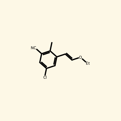 CCOC=Cc1cc(Cl)cc(C#N)c1C